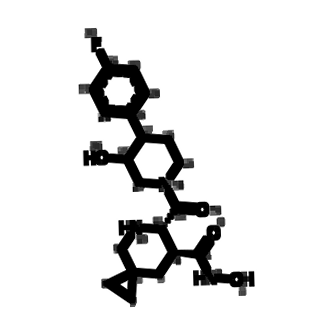 O=C(NO)[C@H]1CC2(CC2)CN[C@@H]1C(=O)N1CCC(c2ccc(F)cc2)C(O)C1